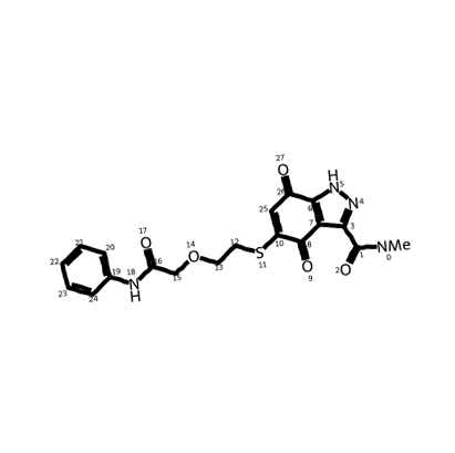 CNC(=O)c1n[nH]c2c1C(=O)C(SCCOCC(=O)Nc1ccccc1)=CC2=O